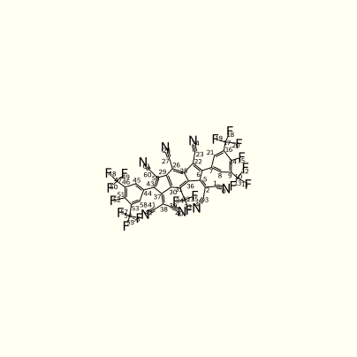 N#CC(C#N)=C1C(c2cc(C(F)(F)F)c(F)c(C(F)(F)F)c2)=C(C#N)c2c(C#N)c3c(c(C(F)(F)F)c21)C(=C(C#N)C#N)C(c1cc(C(F)(F)F)c(F)c(C(F)(F)F)c1)=C3C#N